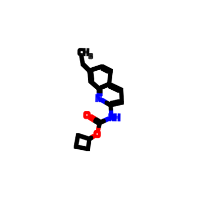 CCc1ccc2ccc(NC(=O)OC3CCC3)nc2c1